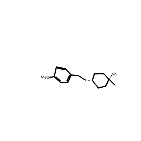 CCC[C@]1(C)CC[C@H](CCc2ccc(OC)cc2)CC1